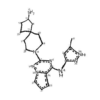 Cc1cc(Nc2nc(N3CCC4(CCC(N)C4)CC3)nn3cccc23)n[nH]1